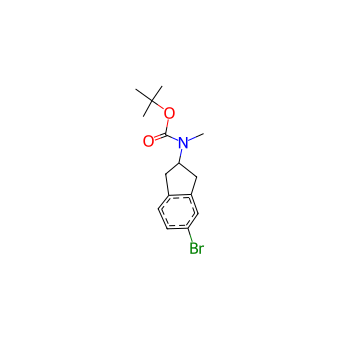 CN(C(=O)OC(C)(C)C)C1Cc2ccc(Br)cc2C1